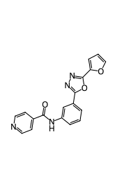 O=C(Nc1cccc(-c2nnc(-c3ccco3)o2)c1)c1ccncc1